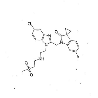 CS(=O)(=O)CCNCCn1c(CN2C(=O)C3(CC3)c3ccc(F)cc32)nc2cc(Cl)ccc21